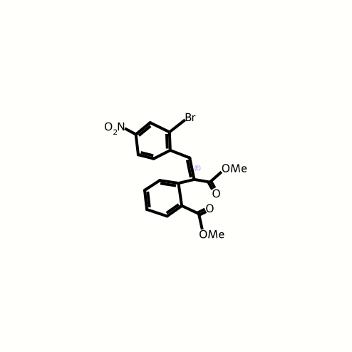 COC(=O)/C(=C/c1ccc([N+](=O)[O-])cc1Br)c1ccccc1C(=O)OC